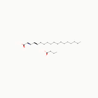 CCCC(=O)O.CCCCCCCCCCCCC/C=C/C=C/C(=O)O